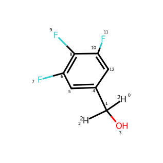 [2H]C([2H])(O)c1cc(F)c(F)c(F)c1